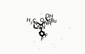 CN1CCCn2c(-c3ccc(F)c(F)c3)nc(C(=O)NC(CO)C(C)(C)C)c2C1